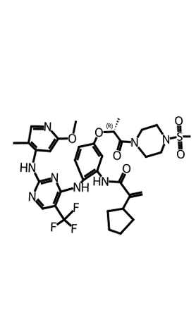 C=C(C(=O)Nc1cc(O[C@H](C)C(=O)N2CCN(S(C)(=O)=O)CC2)ccc1Nc1nc(Nc2cc(OC)ncc2C)ncc1C(F)(F)F)C1CCCC1